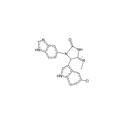 C/N=C1/NC(=O)N(c2ccc3[nH]cnc3c2)C1c1c[nH]c2ccc(Cl)cc12